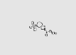 CC(C)(C)OC(=O)N1CC2(CCCN(S(=O)(=O)Cl)C2)C1